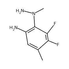 Cc1cc(N)c(N(C)N)c(F)c1F